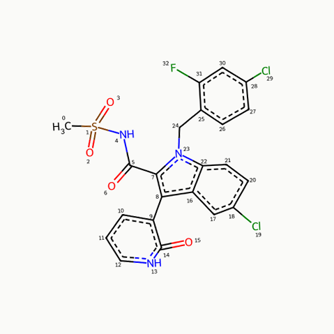 CS(=O)(=O)NC(=O)c1c(-c2ccc[nH]c2=O)c2cc(Cl)ccc2n1Cc1ccc(Cl)cc1F